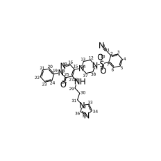 N#Cc1ccccc1S(=O)(=O)N1CCN(c2cnn(-c3ccccc3)c(=O)c2NCCCn2ccnc2)CC1